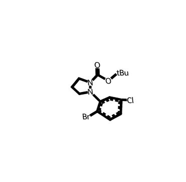 CC(C)(C)OC(=O)N1CCCN1c1cc(Cl)ccc1Br